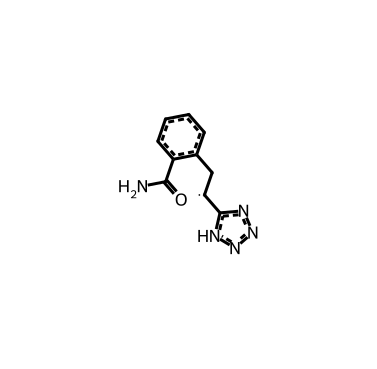 NC(=O)c1ccccc1C[CH]c1nnn[nH]1